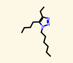 CCCCCCn1nnc(CC)c1CCCC